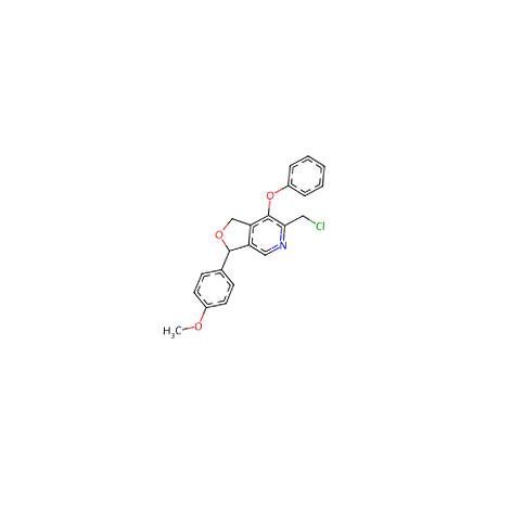 COc1ccc(C2OCc3c2cnc(CCl)c3Oc2ccccc2)cc1